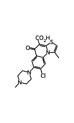 Cc1csc2c(C(=O)O)c(=O)c3cc(N4CCN(C)CC4)c(Cl)cc3n12